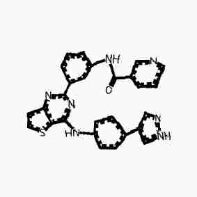 O=C(Nc1cccc(-c2nc(Nc3ccc(-c4cn[nH]c4)cc3)c3sccc3n2)c1)c1cccnc1